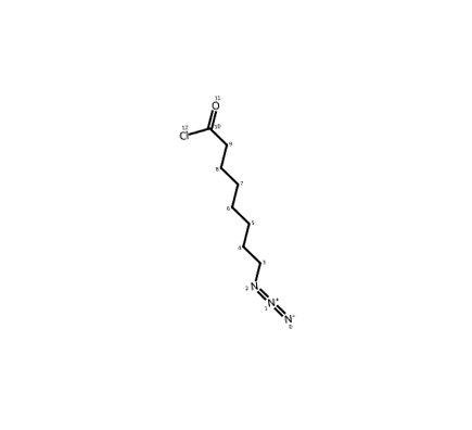 [N-]=[N+]=NCCCCCCCC(=O)Cl